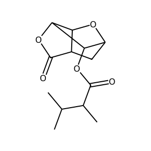 CC(C)C(C)C(=O)OC1C2CC3C(=O)OC1C3O2